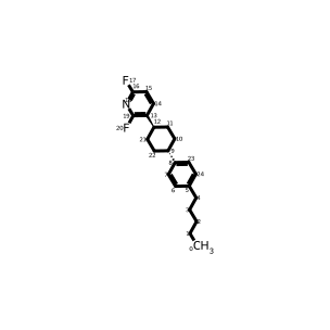 CCCCCc1ccc([C@H]2CC[C@H](c3ccc(F)nc3F)CC2)cc1